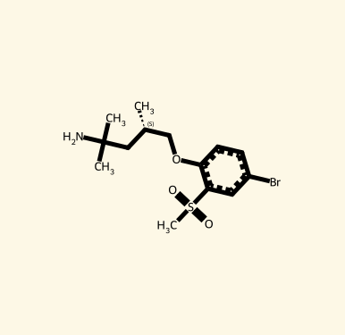 C[C@H](COc1ccc(Br)cc1S(C)(=O)=O)CC(C)(C)N